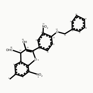 Cc1cc2c(c([N+](=O)[O-])c1)OC(c1ccc(OCc3ccccc3)c([N+](=O)[O-])c1)=C(O)C2C=O